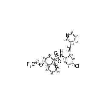 O=S(=O)(Nc1ccc(Cl)cc1C#Cc1cccnc1)c1ccc(OCC(F)(F)F)c2cccnc12